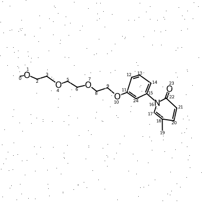 COCCOCCOCCOc1cccc(-n2cc(C)ccc2=O)c1